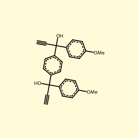 C#CC(O)(c1ccc(OC)cc1)c1ccc(C(O)(C#C)c2ccc(OC)cc2)cc1